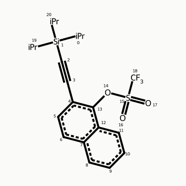 CC(C)[Si](C#Cc1ccc2ccccc2c1OS(=O)(=O)C(F)(F)F)(C(C)C)C(C)C